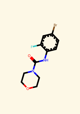 O=C(Nc1ccc(Br)cc1F)N1CCOCC1